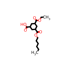 CCCCCCOC(=O)C1CC(C(=O)O)CC(C(=O)OCC)C1